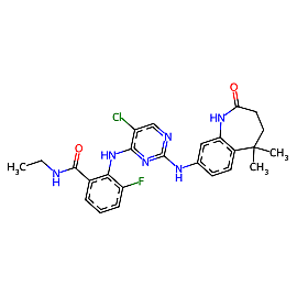 CCNC(=O)c1cccc(F)c1Nc1nc(Nc2ccc3c(c2)NC(=O)CCC3(C)C)ncc1Cl